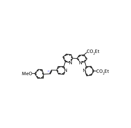 CCOC(=O)c1ccnc(-c2cc(C(=O)OCC)cc(-c3cccc(-c4cc(/C=C/c5ccc(OC)cc5)ccn4)n3)n2)c1